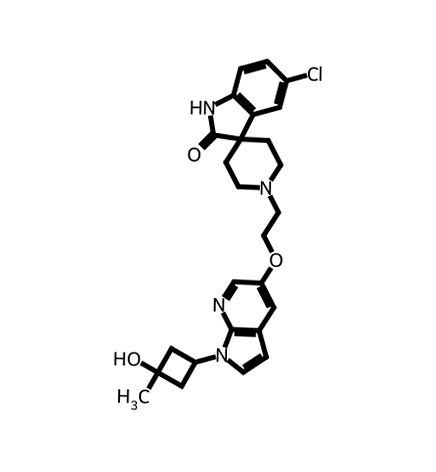 CC1(O)CC(n2ccc3cc(OCCN4CCC5(CC4)C(=O)Nc4ccc(Cl)cc45)cnc32)C1